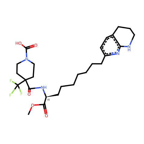 COC(=O)[C@H](CCCCCCCc1ccc2c(n1)NCCC2)NC(=O)C1(C(F)(F)F)CCN(C(=O)O)CC1